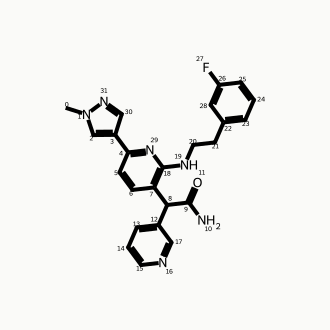 Cn1cc(-c2ccc(C(C(N)=O)c3cccnc3)c(NCCc3cccc(F)c3)n2)cn1